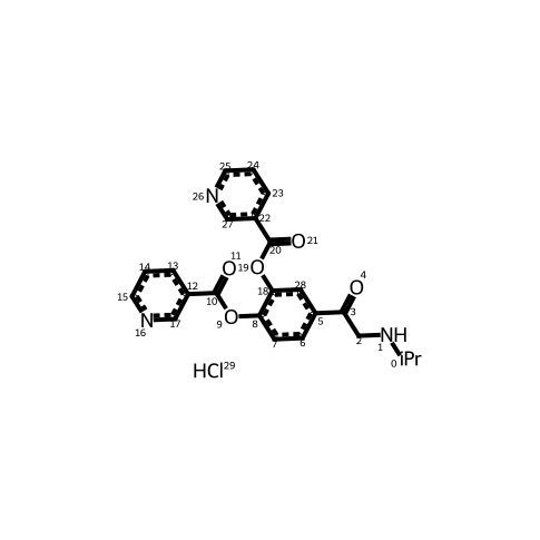 CC(C)NCC(=O)c1ccc(OC(=O)c2cccnc2)c(OC(=O)c2cccnc2)c1.Cl